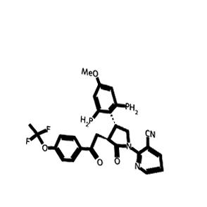 COc1cc(P)c([C@@H]2CN(c3ncccc3C#N)C(=O)[C@H]2CC(=O)c2ccc(OC(C)(F)F)cc2)c(P)c1